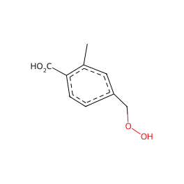 Cc1cc(COO)ccc1C(=O)O